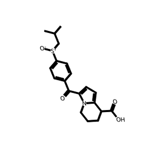 CC(C)C[S+]([O-])c1ccc(C(=O)c2ccc3n2CCCC3C(=O)O)cc1